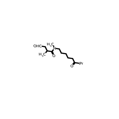 CC(C)C(=O)CCCCCN(C)C(=O)C(C)CC=O